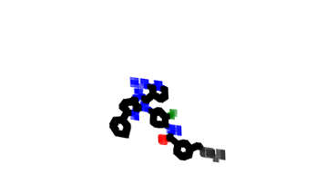 Nc1ncccc1-c1nc2ccc(-c3ccccc3)nc2n1-c1ccc(NC(=O)c2cccc(CC(=O)O)c2)c(F)c1